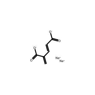 C=C(C=CC(=O)[O-])C(=O)[O-].[Na+].[Na+]